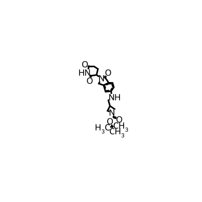 CC(C)(C)OC(=O)N1CC(CNc2ccc3c(c2)CN(C2CCC(=O)NC2=O)C3=O)C1